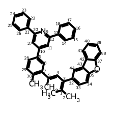 CC(C)=C(/C=C(\C)c1cc(-c2cc(-c3ccccc3)nc(-c3ccccc3)c2)ccc1C)c1ccc2oc3ccccc3c2c1